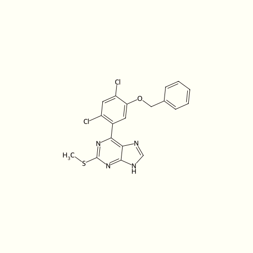 CSc1nc(-c2cc(OCc3ccccc3)c(Cl)cc2Cl)c2nc[nH]c2n1